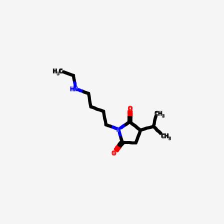 CCNCCCCN1C(=O)CC(C(C)C)C1=O